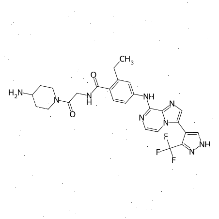 CCc1cc(Nc2nccn3c(-c4c[nH]nc4C(F)(F)F)cnc23)ccc1C(=O)NCC(=O)N1CCC(N)CC1